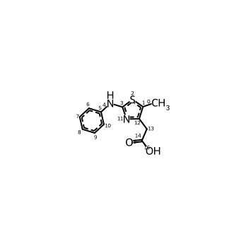 Cc1sc(Nc2ccccc2)nc1CC(=O)O